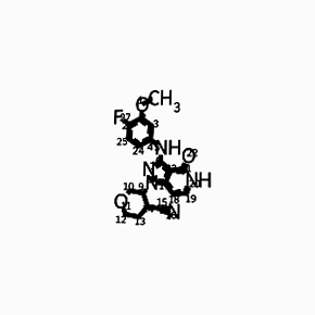 COc1cc(Nc2nn(C3COCCC3C#N)c3cc[nH]c(=O)c23)ccc1F